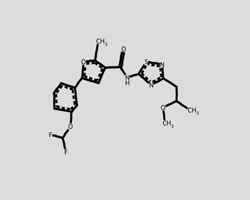 COC(C)Cc1nsc(NC(=O)c2cc(-c3cccc(OC(F)F)c3)oc2C)n1